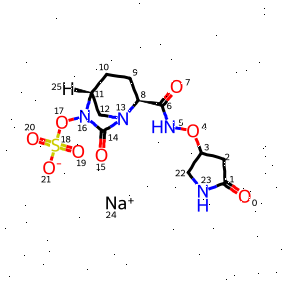 O=C1CC(ONC(=O)[C@@H]2CC[C@@H]3CN2C(=O)N3OS(=O)(=O)[O-])CN1.[Na+]